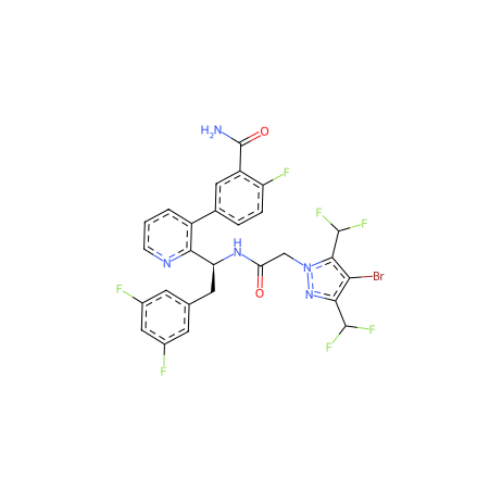 NC(=O)c1cc(-c2cccnc2[C@H](Cc2cc(F)cc(F)c2)NC(=O)Cn2nc(C(F)F)c(Br)c2C(F)F)ccc1F